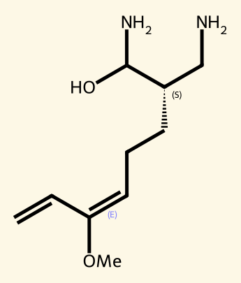 C=C/C(=C\CC[C@@H](CN)C(N)O)OC